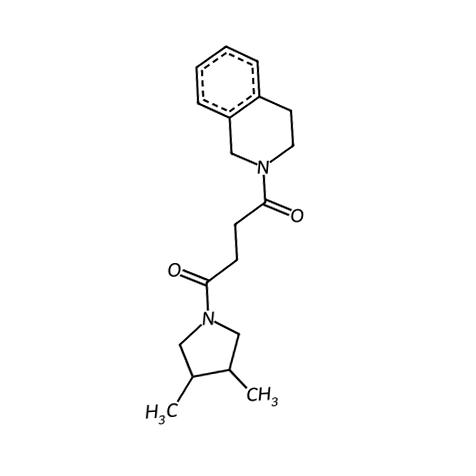 CC1CN(C(=O)CCC(=O)N2CCc3ccccc3C2)CC1C